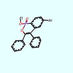 CCOP1(=O)OC(c2ccccc2)=C(c2ccccc2)c2cc(C(C)=O)ccc21